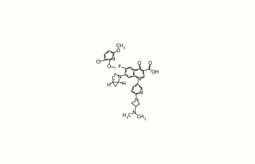 COc1ccc(Cl)c(OC[C@H]2C[C@H]3C[C@H]3N2c2cc3c(cc2F)c(=O)c(C(=O)O)cn3-c2ccc(N3CC(N(C)C)C3)nc2)n1